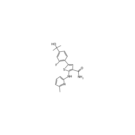 Cc1cccc(Nc2sc(-c3ccc(C(C)(C)O)cc3F)cc2C(N)=O)n1